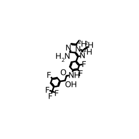 [2H]C([2H])([2H])c1nc(-c2ccc(NC(=O)[C@H](O)c3cc(F)cc(C(F)(F)F)c3)c(F)c2F)c2c(N)ncc(C)n12